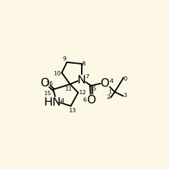 CC(C)(C)OC(=O)N1CCCC12CCNC2=O